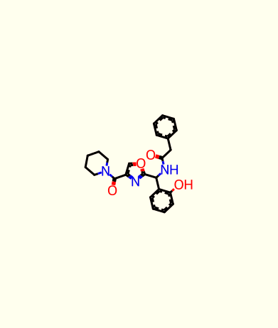 O=C(Cc1ccccc1)NC(c1nc(C(=O)N2CCCCC2)co1)c1ccccc1O